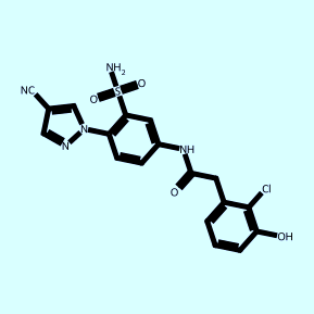 N#Cc1cnn(-c2ccc(NC(=O)Cc3cccc(O)c3Cl)cc2S(N)(=O)=O)c1